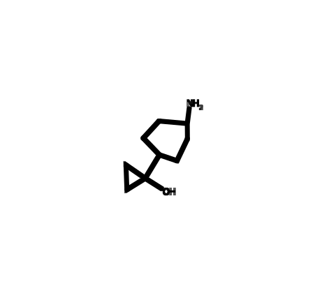 NC1CCC(C2(O)CC2)CC1